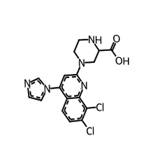 O=C(O)C1CN(c2cc(-n3ccnc3)c3ccc(Cl)c(Cl)c3n2)CCN1